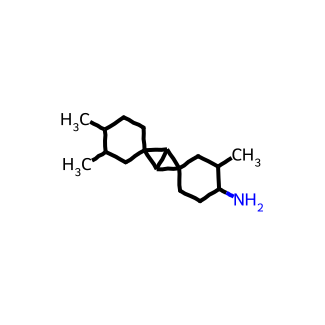 CC1CCC2(CC1C)C1C2C12CCC(N)C(C)C2